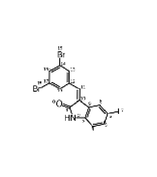 O=C1Nc2ccc(I)cc2C1=Cc1cc(Br)[c]c(Br)c1